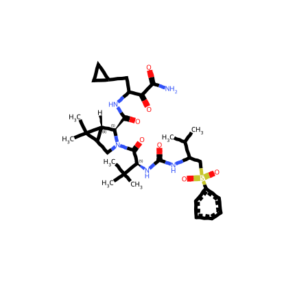 CC(C)C(CS(=O)(=O)c1ccccc1)NC(=O)N[C@H](C(=O)N1CC2[C@@H]([C@H]1C(=O)NC(CC1CC1)C(=O)C(N)=O)C2(C)C)C(C)(C)C